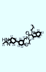 CCCn1c(C(=O)N2CCOc3ccc(-c4ccc5[nH]c(C)nc5c4)cc3C2)cc2ccccc21